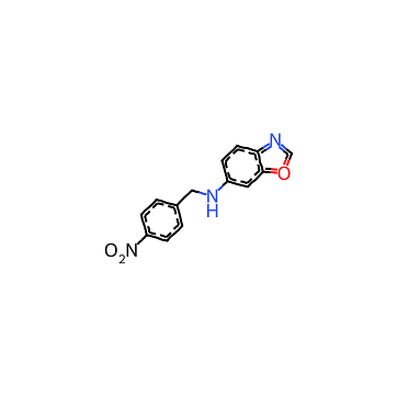 O=[N+]([O-])c1ccc(CNc2ccc3ncoc3c2)cc1